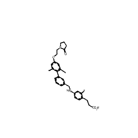 Cc1cc(OCCN2CCCC2=O)cc(C)c1-c1cccc(CNc2ccc(CCC(=O)O)c(F)c2)c1